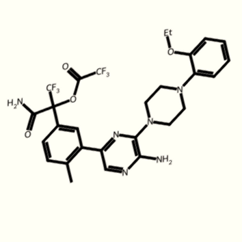 CCOc1ccccc1N1CCN(c2nc(-c3cc(C(OC(=O)C(F)(F)F)(C(N)=O)C(F)(F)F)ccc3C)cnc2N)CC1